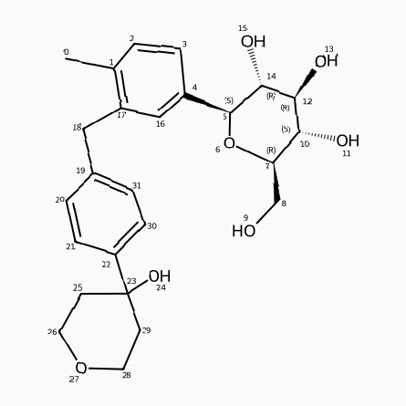 Cc1ccc([C@@H]2O[C@H](CO)[C@@H](O)[C@H](O)[C@H]2O)cc1Cc1ccc(C2(O)CCOCC2)cc1